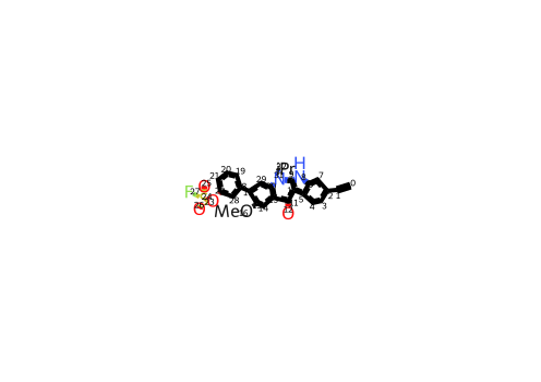 C#Cc1ccc2c(c1)[nH]c1c2c(=O)c2cc(OC)c(-c3cccc(OS(=O)(=O)F)c3)cc2n1C(C)C